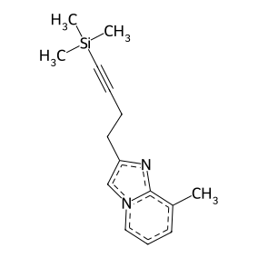 Cc1cccn2cc(CCC#C[Si](C)(C)C)nc12